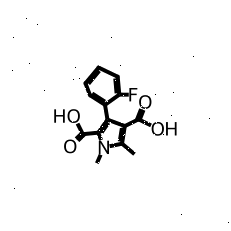 Cc1c(C(=O)O)c(-c2ccccc2F)c(C(=O)O)n1C